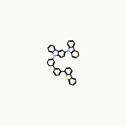 C1=Cc2c(c3ccccc3n2-c2ccc3c(c2)c2ccccc2n3C2=CCCC(c3cccc(-c4cccc5c4sc4ccccc45)c3)=C2)CC1